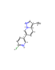 CC(C)(C)c1cnn2cc(-c3ccc(F)nc3)ccc12